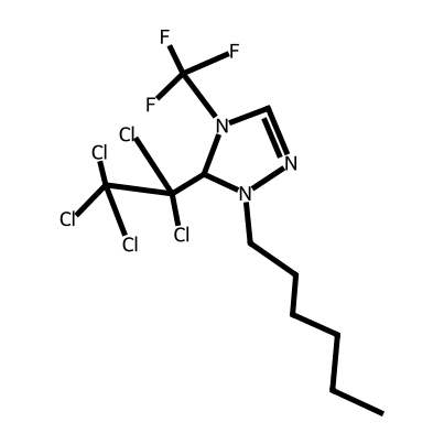 CCCCCCN1N=CN(C(F)(F)F)C1C(Cl)(Cl)C(Cl)(Cl)Cl